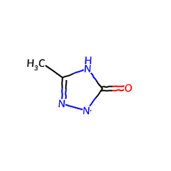 CC1=N[N]C(=O)N1